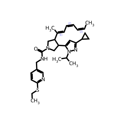 C\C=C/C=C\C=C(/C)C1CN(C(=O)NCc2ccc(SCC)nc2)CC1c1cc(C2CC2)nn1C(C)C